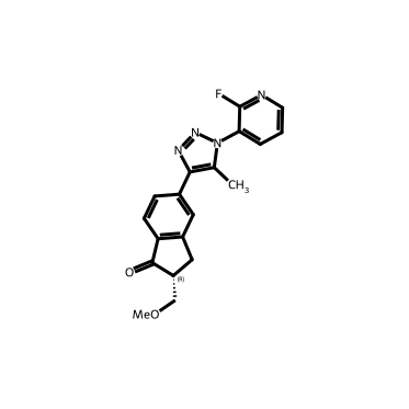 COC[C@H]1Cc2cc(-c3nnn(-c4cccnc4F)c3C)ccc2C1=O